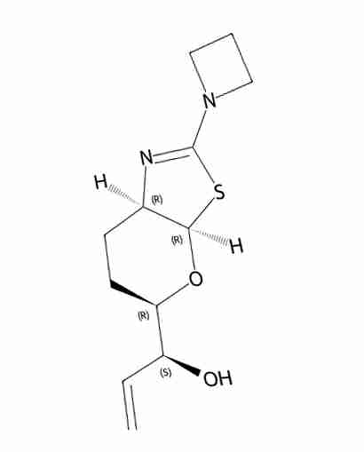 C=C[C@H](O)[C@H]1CC[C@H]2N=C(N3CCC3)S[C@H]2O1